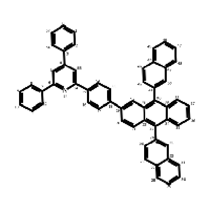 c1ccc(-c2cc(-c3ccccc3)nc(-c3ccc(-c4ccc5c(-c6ccc7ccccc7c6)c6ccccc6c(-c6ccc7ccccc7c6)c5c4)cc3)c2)cc1